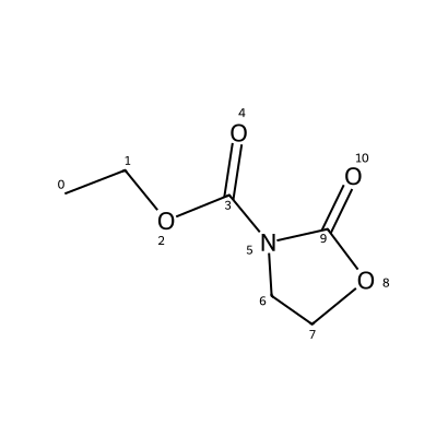 CCOC(=O)N1CCOC1=O